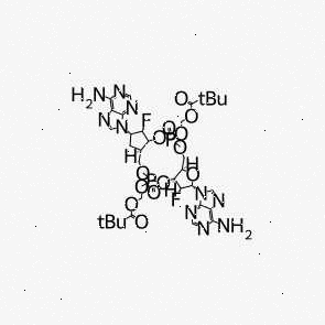 CC(C)(C)C(=O)OCOP1(=O)OC[C@H]2O[C@@H](n3cnc4c(N)ncnc43)[C@@H](F)[C@H]2OP(=O)(OCOC(=O)C(C)(C)C)OC[C@H]2C[C@@H](n3cnc4c(N)ncnc43)[C@@H](F)C2O1